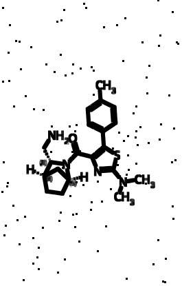 Cc1ccc(-c2sc(N(C)C)nc2C(=O)N2[C@H]3CC[C@H](C3)[C@@H]2CN)cc1